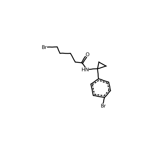 O=C(CCCCBr)NC1(c2ccc(Br)cc2)CC1